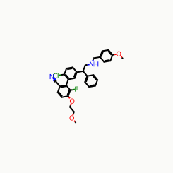 COCCOc1ccc(C#N)c(-c2cc(C(CNCc3ccc(OC)cc3)c3ccccc3)ccc2Cl)c1F